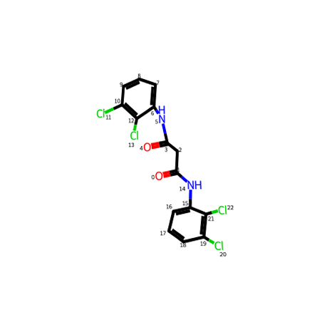 O=C(CC(=O)Nc1cccc(Cl)c1Cl)Nc1cccc(Cl)c1Cl